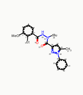 CCc1c(OC)cccc1C(=O)NN(C(=O)c1cc(C)n(-c2ccccc2)n1)C(C)(C)C